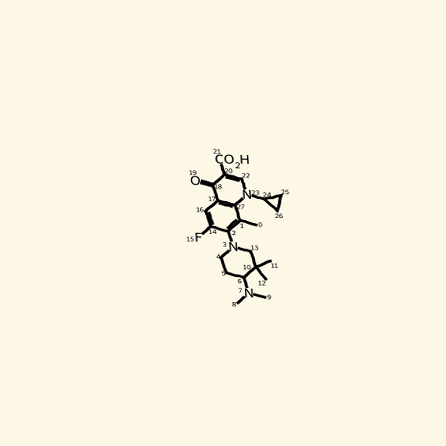 Cc1c(N2CCC(N(C)C)C(C)(C)C2)c(F)cc2c(=O)c(C(=O)O)cn(C3CC3)c12